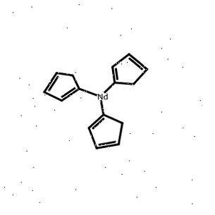 C1=CC[C]([Nd]([C]2=CC=CC2)[C]2=CC=CC2)=C1